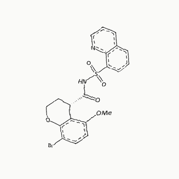 COc1ccc(Br)c2c1[C@@H](C(=O)NS(=O)(=O)c1cccc3cccnc13)CCO2